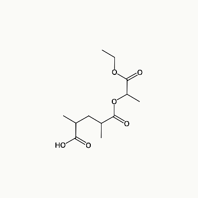 CCOC(=O)C(C)OC(=O)C(C)CC(C)C(=O)O